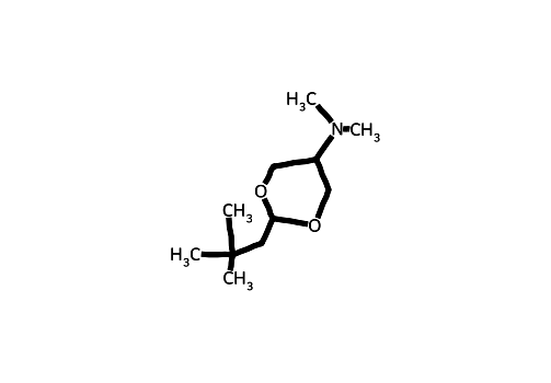 CN(C)C1COC(CC(C)(C)C)OC1